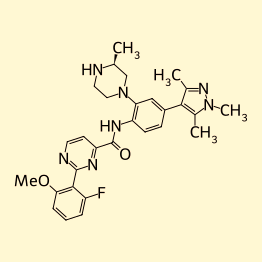 COc1cccc(F)c1-c1nccc(C(=O)Nc2ccc(-c3c(C)nn(C)c3C)cc2N2CCN[C@@H](C)C2)n1